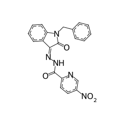 O=C(NN=C1C(=O)N(Cc2ccccc2)c2ccccc21)c1ccc([N+](=O)[O-])cn1